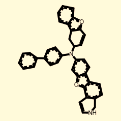 C1=Cc2c(ccc3c2oc2cc(N(c4ccc(-c5ccccc5)cc4)C4C=Cc5oc6ccccc6c5C4)ccc23)CN1